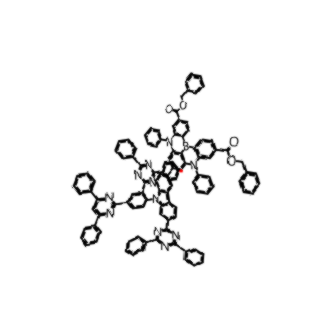 O=C(OCc1ccccc1)c1ccc2c(c1)N(c1ccccc1)c1cc(-c3ccc4c(c3)c3ccc(-c5nc(-c6ccccc6)nc(-c6ccccc6)n5)cc3n4-c3ccc(-c4nc(-c5ccccc5)cc(-c5ccccc5)n4)cc3-c3nc(-c4ccccc4)nc(-c4ccccc4)n3)cc3c1B2c1ccc(C(=O)OCc2ccccc2)cc1N3c1ccccc1